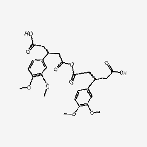 COc1ccc(C(CC(=O)O)CC(=O)OC(=O)CC(CC(=O)O)c2ccc(OC)c(OC)c2)cc1OC